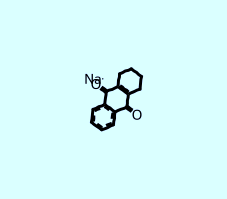 O=C1C2=C(CCCC2)C(=O)c2ccccc21.[Na]